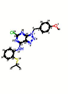 COc1ccc(Cn2nnc3c(Nc4ccccc4SC(C)C)nc(Cl)nc32)cc1